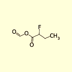 CCC(F)C(=O)OC=O